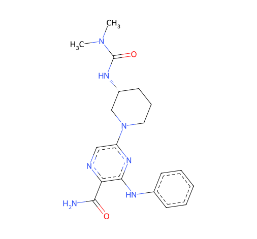 CN(C)C(=O)N[C@@H]1CCCN(c2cnc(C(N)=O)c(Nc3ccccc3)n2)C1